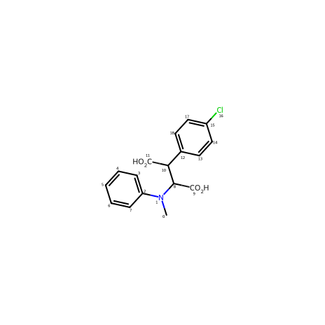 CN(c1ccccc1)C(C(=O)O)C(C(=O)O)c1ccc(Cl)cc1